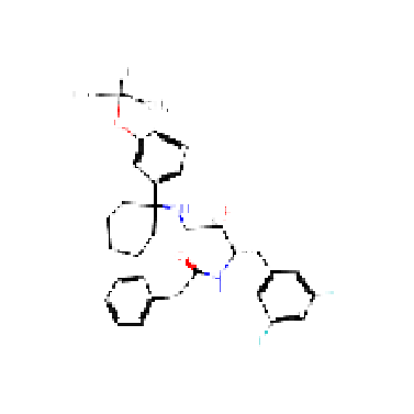 CC(C)(C)Oc1cccc(C2(NC[C@H](O)[C@H](Cc3cc(F)cc(F)c3)NC(=O)Cc3ccccc3)CCCCC2)c1